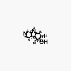 Cn1c2cnccc2c2c(I)c(O)c(I)cc21